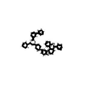 c1ccc(-c2cccc(-c3nc(-c4ccccc4)cc(-c4ccc(-c5ccc6oc7ccc8c(-c9ccccc9)nc9ccccc9c8c7c6c5)cc4)n3)c2)cc1